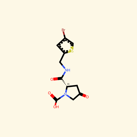 O=C1C[C@@H](C(=O)NCc2cc(Br)cs2)N(C(=O)O)C1